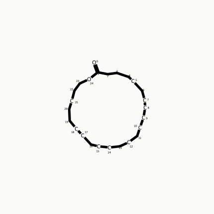 O=C1CCCCCCCCCCCCCCCCCCCCCCO1